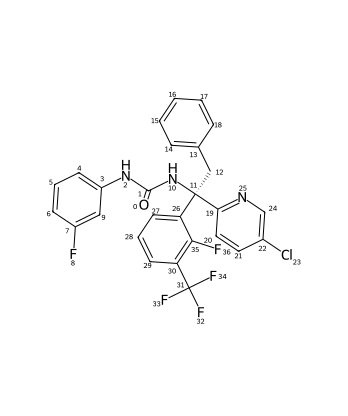 O=C(Nc1cccc(F)c1)N[C@@](Cc1ccccc1)(c1ccc(Cl)cn1)c1cccc(C(F)(F)F)c1F